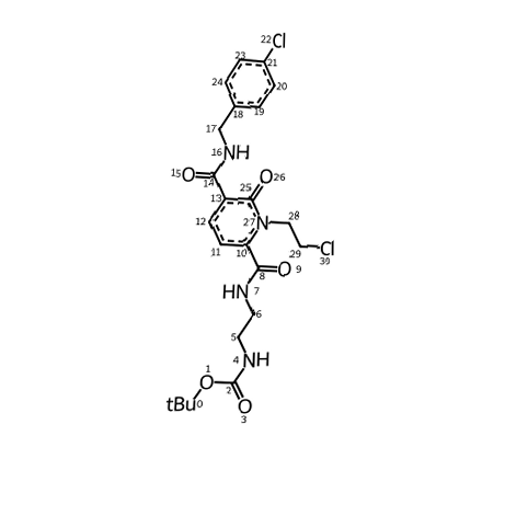 CC(C)(C)OC(=O)NCCNC(=O)c1ccc(C(=O)NCc2ccc(Cl)cc2)c(=O)n1CCCl